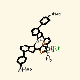 CCCCCCc1ccc(-c2cccc3c2C=C(c2ccc(C)s2)[CH]3[Zr+2][CH]2C(c3ccc(C)s3)=Cc3c(-c4ccc(CCCCCC)cc4)cccc32)cc1.[Cl-].[Cl-]